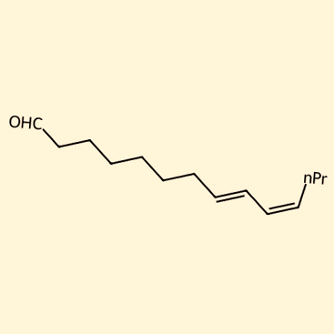 CCC/C=C\C=CCCCCCCC=O